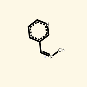 O/N=C\c1cccnc1